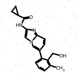 Cc1cccc(-c2ccc3nc(NC(=O)C4CC4)cn3c2)c1CO